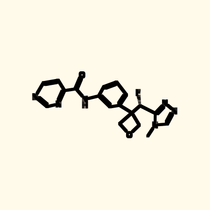 Cn1cnnc1[C@@H](F)C1(c2cccc(NC(=O)c3ccncn3)c2)COC1